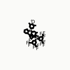 COc1c(C)cc(P(c2cc(C)c(OC)c(C)c2)c2ccccc2C2C3CC(C(C)P(c4cc(C(F)(F)F)cc(C(F)(F)F)c4)c4cc(C(F)(F)F)cc(C(F)(F)F)c4)C32)cc1C